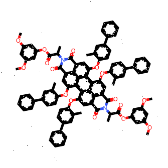 COc1cc(OC)cc(OC(=O)C(C)N2C(=O)c3cc(Oc4ccc(-c5ccccc5)cc4C)c4c5c(Oc6ccc(-c7ccccc7)cc6C)cc6c7c(cc(Oc8ccc(-c9ccccc9)cc8C)c(c8c(Oc9ccc(-c%10ccccc%10)cc9C)cc(c3c48)C2=O)c75)C(=O)N(C(C)C(=O)Oc2cc(OC)cc(OC)c2)C6=O)c1